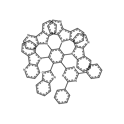 c1ccc(-c2nc(-c3ccccc3)nc(-c3c(-c4nc5ccccc5o4)c(-n4c5ccccc5c5ncccc54)c(-n4c5ccccc5c5ncccc54)c(-n4c5ccccc5c5ncccc54)c3-n3c4ccccc4c4ncccc43)n2)cc1